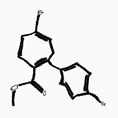 COC(=O)c1ccc(Br)cc1-c1ccc(Br)cc1